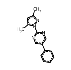 Cc1cc(C)n(-c2ncc(-c3ccccc3)cn2)n1